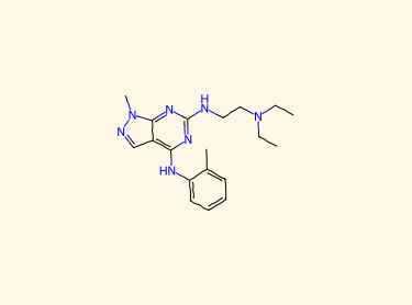 CCN(CC)CCNc1nc(Nc2ccccc2C)c2cnn(C)c2n1